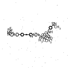 Cc1ncsc1-c1ccc(CNC(=O)C2CC(=O)CN2C(=O)[C@@H](NC(=O)CCN2CCN(c3ccc(C#Cc4ccc(C5CCN(C6=Nn7c(nnc7C(F)(F)F)CC6)CC5)cc4)cn3)CC2)C(C)(C)C)cc1